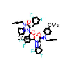 CC#CCN(C(=O)[C@H](Cc1cc(F)cc(F)c1)NC(=O)c1cc(F)c(F)cc1C(=O)N[C@@H](Cc1cc(F)cc(F)c1)C(=O)N(CC#CC)c1ccc(OC)cc1)c1ccc(OC)cc1